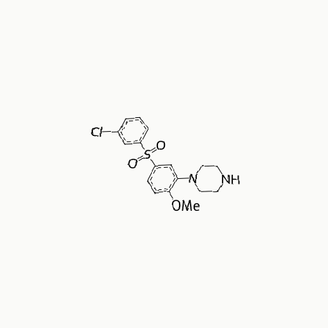 COc1ccc(S(=O)(=O)c2cccc(Cl)c2)cc1N1CCNCC1